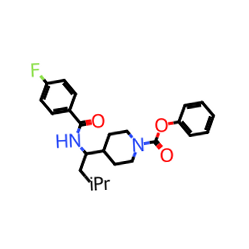 CC(C)CC(NC(=O)c1ccc(F)cc1)C1CCN(C(=O)Oc2ccccc2)CC1